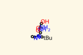 CC(C)(C)c1ccc(-n2nc(-c3cc4ccccc4cn3)cc2-c2cccc(C(=O)NC(=O)[C@@H](N)Cc3ccc(O)cc3)c2)cc1